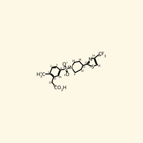 Cc1ccc(S(=O)(=O)N2CCC(c3nc(C(F)(F)F)cs3)CC2)cc1CC(=O)O